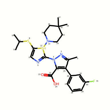 Cc1nn(C2=NC=C(SC(C)C)[SH]2N2CCC(C)(C)CC2)c(C(=O)O)c1-c1cccc(F)c1